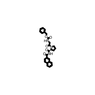 O=C(NCC(=O)N1CCC[C@H]1C(=O)NC(=O)c1ccc2ccccc2c1)OCc1ccccc1